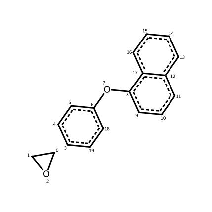 C1CO1.c1ccc(Oc2cccc3ccccc23)cc1